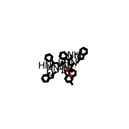 Cc1ccc([C@@H](C)NC(=O)[C@](C)(NCc2cc3ccccc3o2)[C@@H](c2c[nH]c3ccccc23)N(C(=O)[C@@](C)(Cc2c[nH]c3ccccc23)NCc2cc3ccccc3o2)[C@@H](C)C2CCCCC2)cc1